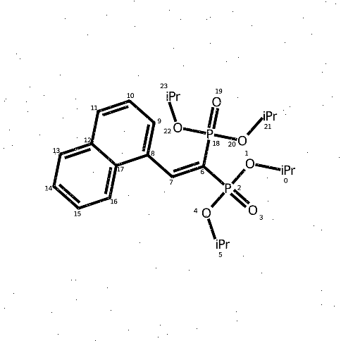 CC(C)OP(=O)(OC(C)C)C(=Cc1cccc2ccccc12)P(=O)(OC(C)C)OC(C)C